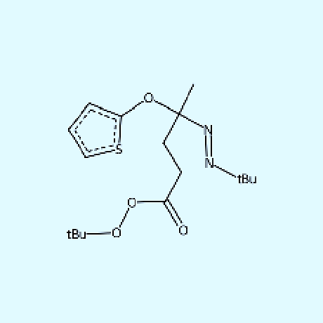 CC(C)(C)N=NC(C)(CCC(=O)OOC(C)(C)C)Oc1cccs1